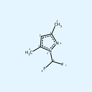 Cc1[c]c(C)n(C(F)F)n1